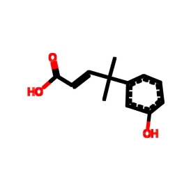 CC(C)(C=CC(=O)O)c1cccc(O)c1